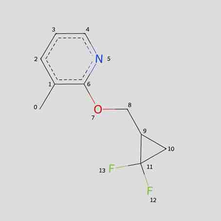 Cc1cccnc1OCC1CC1(F)F